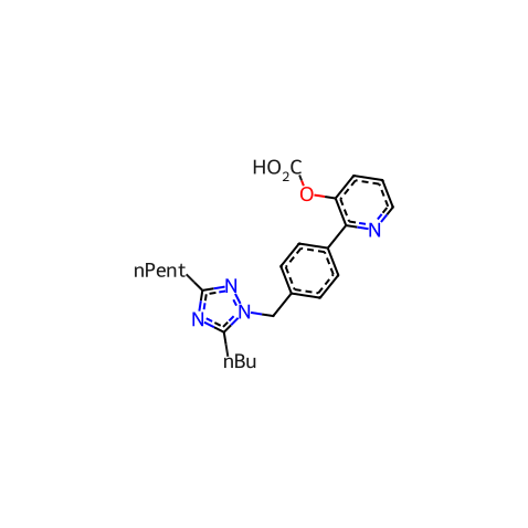 CCCCCc1nc(CCCC)n(Cc2ccc(-c3ncccc3OC(=O)O)cc2)n1